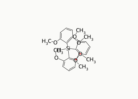 COc1cccc(OC)c1[Si](Cl)(c1c(OC)cccc1OC)c1c(OC)cccc1OC